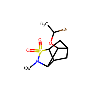 CC(Br)OC1C2CC3C1N(C(C)(C)C)S(=O)(=O)C3C2